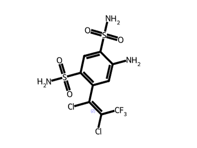 Nc1cc(/C(Cl)=C(/Cl)C(F)(F)F)c(S(N)(=O)=O)cc1S(N)(=O)=O